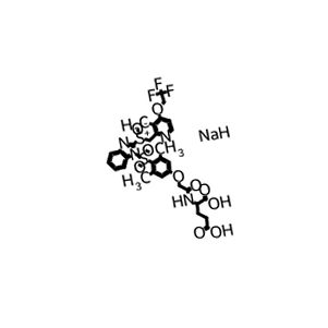 Cc1cc(OCC(=O)NC(CCC(=O)O)C(=O)O)cc(C)c1S(=O)(=O)n1c([S+]([O-])Cc2nccc(OCC(F)(F)F)c2C)nc2ccccc21.[NaH]